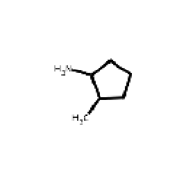 CC1CCCC1N